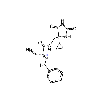 N=C/C(=N\Nc1ccccc1)C(=O)NCC1(C2CC2)NC(=O)NC1=O